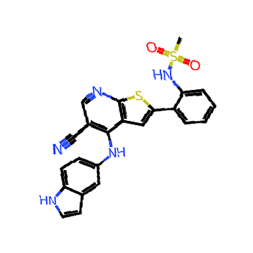 CS(=O)(=O)Nc1ccccc1-c1cc2c(Nc3ccc4[nH]ccc4c3)c(C#N)cnc2s1